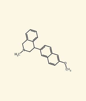 COc1ccc2cc(C3CN(C)Cc4ccccc43)ccc2c1